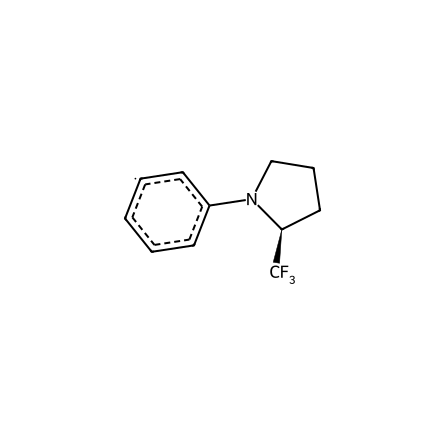 FC(F)(F)[C@@H]1CCCN1c1c[c]ccc1